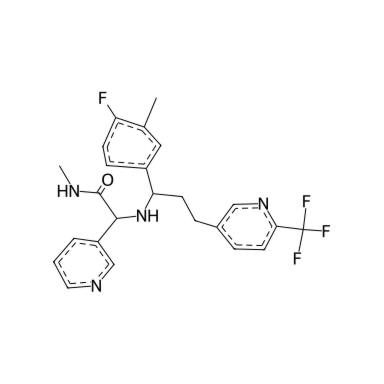 CNC(=O)C(NC(CCc1ccc(C(F)(F)F)nc1)c1ccc(F)c(C)c1)c1cccnc1